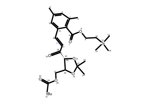 Cc1cc(C)c(C(=O)OCC[Si](C)(C)C)c(/C=C/C(=O)[C@@H]2OC(C)(C)OC2COC(=O)C(C)(C)C)c1